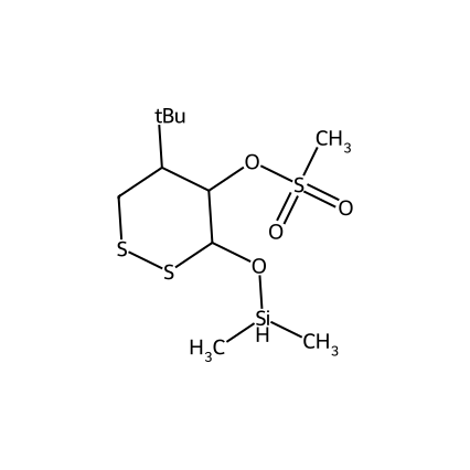 C[SiH](C)OC1SSCC(C(C)(C)C)C1OS(C)(=O)=O